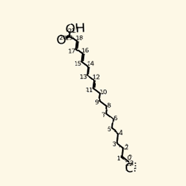 CCCCCCCCCCCC=CC=CC=CC=CC(=O)O.[C]